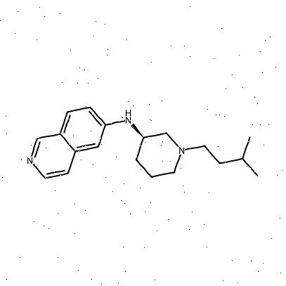 CC(C)CCN1CCC[C@@H](Nc2ccc3cnccc3c2)C1